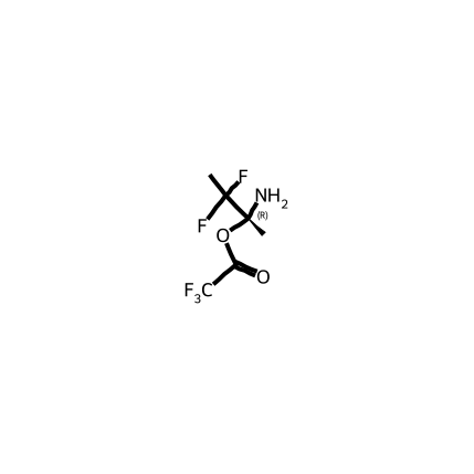 CC(F)(F)[C@](C)(N)OC(=O)C(F)(F)F